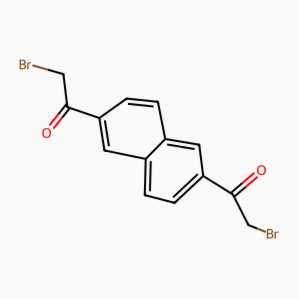 O=C(CBr)c1ccc2cc(C(=O)CBr)ccc2c1